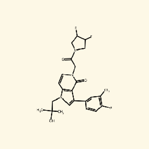 CC(C)(O)Cn1cc(-c2ccc(F)c(C(F)(F)F)c2)c2c(=O)n(CC(=O)N3CC(F)C(F)C3)ccc21